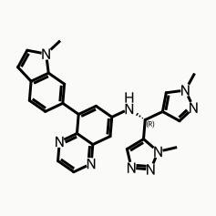 Cn1cc([C@@H](Nc2cc(-c3ccc4ccn(C)c4c3)c3nccnc3c2)c2cnnn2C)cn1